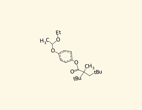 CCOC(C)Oc1ccc(OC(=O)C(C)(CC(C)(C)C)C(C)(C)C)cc1